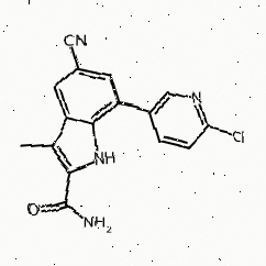 Cc1c(C(N)=O)[nH]c2c(-c3ccc(Cl)nc3)cc(C#N)cc12